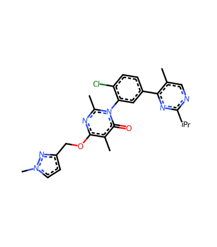 Cc1cnc(C(C)C)nc1-c1ccc(Cl)c(-n2c(C)nc(OCc3ccn(C)n3)c(C)c2=O)c1